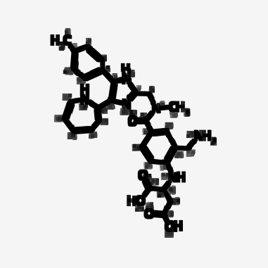 Cc1ccc(-c2[nH]c(CN(C)C(=O)c3ccc(N[C@@H](CC(=O)O)C(=O)O)c(CN)c3)nc2C2=CC=CC=CN2)cc1